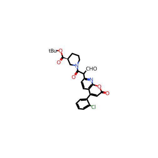 CC(C)(C)OC(=O)[C@H]1CCCN(C(=O)C(C=O)c2ccc3c(-c4ccccc4Cl)cc(=O)oc3n2)C1